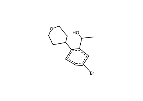 CC(O)c1cc(Br)ccc1C1CCOCC1